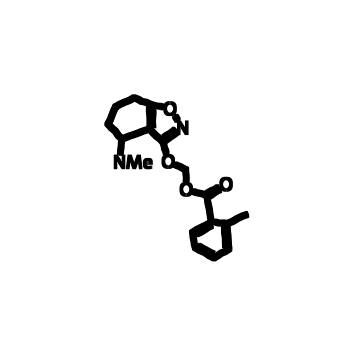 CNC1CCCc2onc(OCOC(=O)c3ccccc3C)c21